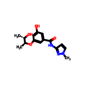 C[C@H](O)[C@H](C)Oc1cc(O)cc(C(=O)Nc2ccn(C)n2)c1